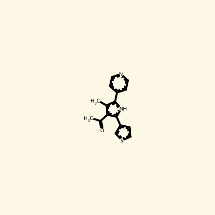 CC(=O)c1c(-c2ccsc2)[nH]c(-c2ccncc2)c1C